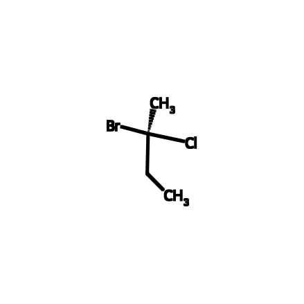 CC[C@](C)(Cl)Br